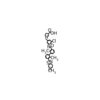 Cc1c(-c2nc3cc(CN4CCC(C(=O)O)C4)cc(Cl)c3o2)cccc1-c1cccc(-c2nc3c(s2)CN(C)CC3)c1C